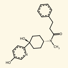 CN(C(=O)CCc1ccccc1)[C@H]1CC[C@@](O)(c2ccc(O)cn2)CC1